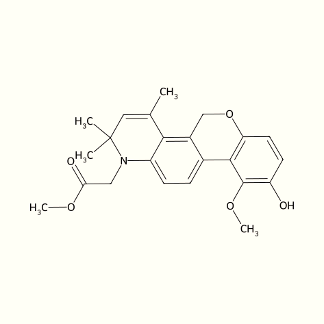 COC(=O)CN1c2ccc3c(c2C(C)=CC1(C)C)COc1ccc(O)c(OC)c1-3